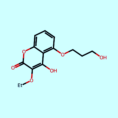 CCOc1c(O)c2c(OCCCO)cccc2oc1=O